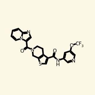 O=C(Nc1cncc(OC(F)(F)F)c1)c1csc2c1CCN(C(=O)c1cnc3ccccn13)C2